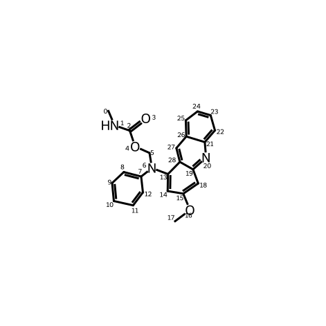 CNC(=O)OCN(c1ccccc1)c1cc(OC)cc2nc3ccccc3cc12